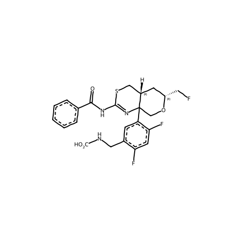 O=C(O)NCc1cc(C23CO[C@@H](CF)C[C@H]2CSC(NC(=O)c2ccccc2)=N3)c(F)cc1F